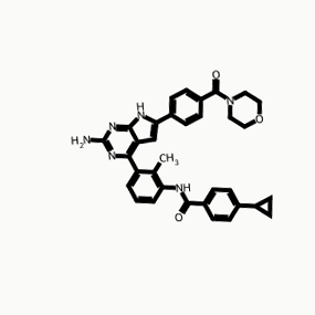 Cc1c(NC(=O)c2ccc(C3CC3)cc2)cccc1-c1nc(N)nc2[nH]c(-c3ccc(C(=O)N4CCOCC4)cc3)cc12